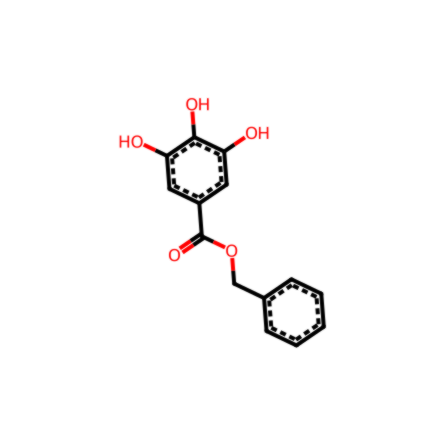 O=C(OCc1ccccc1)c1cc(O)c(O)c(O)c1